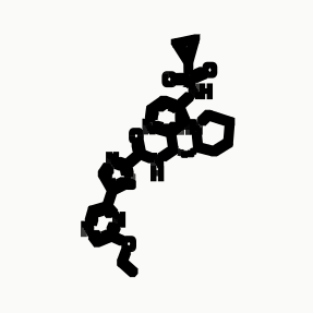 CCOc1cncc(-c2cnc(C(=O)N[C@@H](C[C@H]3CCCCN3)c3cc(NS(=O)(=O)C4CC4)ccn3)s2)n1